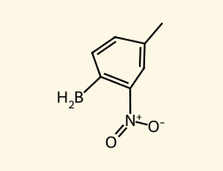 Bc1ccc(C)cc1[N+](=O)[O-]